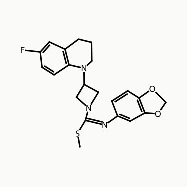 CS/C(=N/c1ccc2c(c1)OCO2)N1CC(N2CCCc3cc(F)ccc32)C1